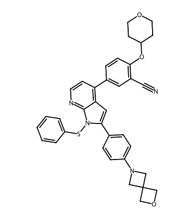 N#Cc1cc(-c2ccnc3c2cc(-c2ccc(N4CC5(COC5)C4)cc2)n3Sc2ccccc2)ccc1OC1CCOCC1